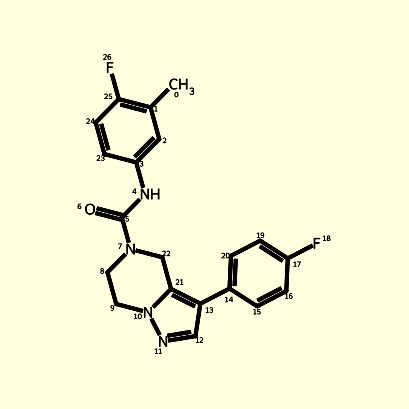 Cc1cc(NC(=O)N2CCn3ncc(-c4ccc(F)cc4)c3C2)ccc1F